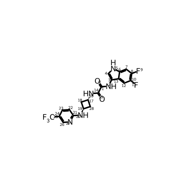 O=C(Nc1c[nH]c2cc(F)c(F)cc12)C(=O)N[C@H]1C[C@H](Nc2ccc(C(F)(F)F)cn2)C1